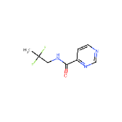 CC(F)(F)CNC(=O)c1ccncn1